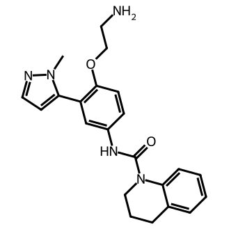 Cn1nccc1-c1cc(NC(=O)N2CCCc3ccccc32)ccc1OCCN